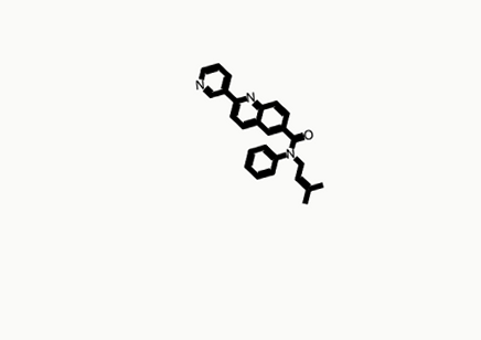 CC(C)=CCN(C(=O)c1ccc2nc(-c3cccnc3)ccc2c1)c1ccccc1